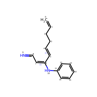 C=CCC/C=C/C(=C\C=N)Nc1ccccc1